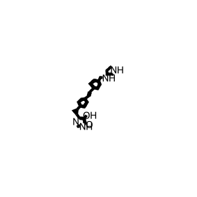 O=c1[nH]cnc(C2CC2c2ccc(C#Cc3ccc(CN[C@@H]4CCNC4)cc3)cc2)c1O